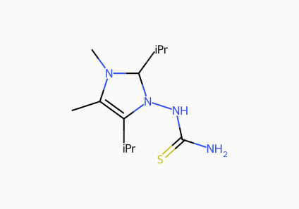 CC1=C(C(C)C)N(NC(N)=S)C(C(C)C)N1C